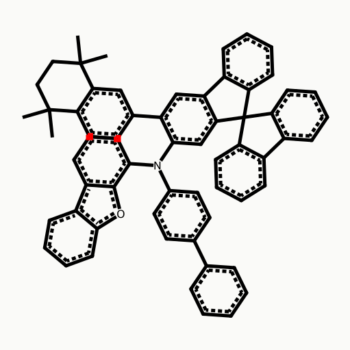 CC1(C)CCC(C)(C)c2cc(-c3cc4c(cc3N(c3ccc(-c5ccccc5)cc3)c3cccc5c3oc3ccccc35)C3(c5ccccc5-c5ccccc53)c3ccccc3-4)ccc21